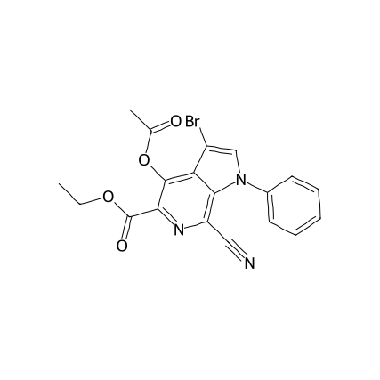 CCOC(=O)c1nc(C#N)c2c(c(Br)cn2-c2ccccc2)c1OC(C)=O